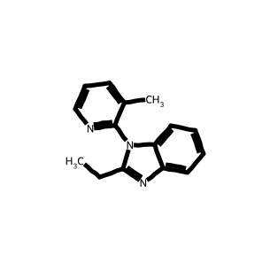 CCc1nc2ccccc2n1-c1ncccc1C